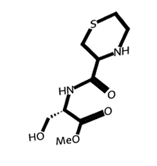 COC(=O)[C@H](CO)NC(=O)C1CSCCN1